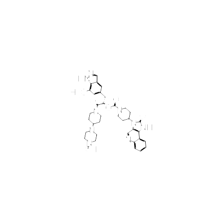 Cc1cc(C[C@@H](OC(=O)N2CCC(n3c(=O)[nH]c4c5ccccc5ncc43)CC2)C(=O)N2CCC(N3CCN(C)CC3)CC2)cc2cn[nH]c12